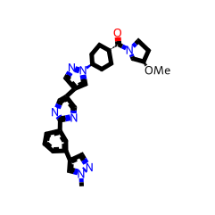 CO[C@@H]1CCN(C(=O)[C@H]2CC[C@H](n3cc(-c4cnc(-c5cccc(-c6cnn(C)c6)c5)nc4)cn3)CC2)C1